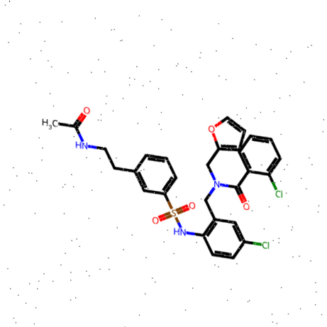 CC(=O)NCCc1cccc(S(=O)(=O)Nc2ccc(Cl)cc2CN(Cc2ccco2)C(=O)c2ccccc2Cl)c1